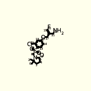 CC1(C)CCC(=O)N1CS(=O)(=O)c1ccc(OCC(=CF)CN)cc1Cl